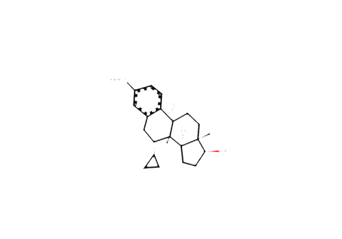 COc1ccc2c(c1)C[C@@H](C1CC1)[C@@H]1[C@@H]2CC[C@]2(C)[C@@H](O)CC[C@@H]12